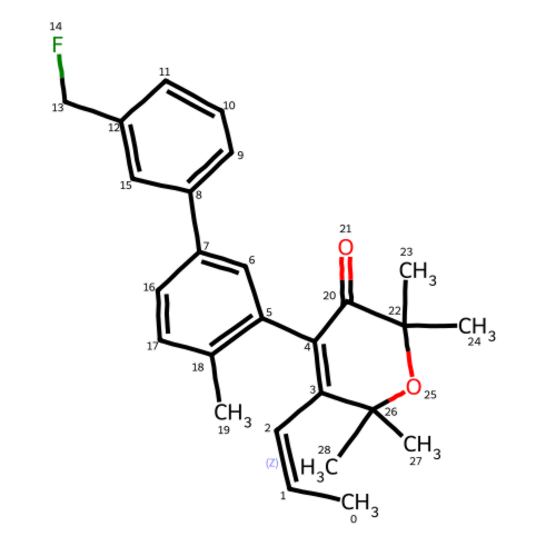 C/C=C\C1=C(c2cc(-c3cccc(CF)c3)ccc2C)C(=O)C(C)(C)OC1(C)C